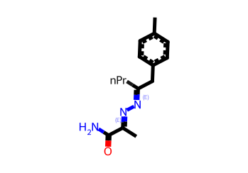 CCC/C(Cc1ccc(C)cc1)=N\N=C(/C)C(N)=O